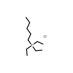 CCCCC[P+](CC)(CC)CC.[Cl-]